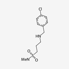 CNS(=O)(=O)CCCNCc1ccc(Cl)cc1